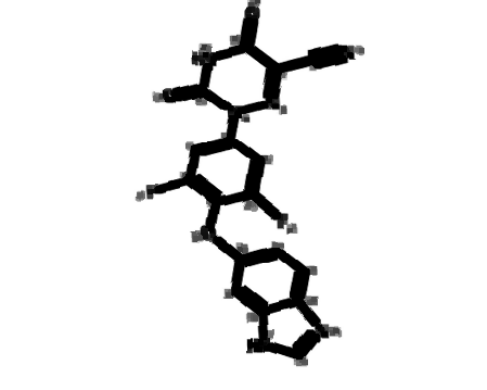 N#Cc1nn(-c2cc(F)c(Oc3ccc4nc[nH]c4c3)c(F)c2)c(=O)[nH]c1=O